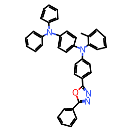 Cc1ccccc1N(c1ccc(-c2nnc(-c3ccccc3)o2)cc1)c1ccc(N(c2ccccc2)c2ccccc2)cc1